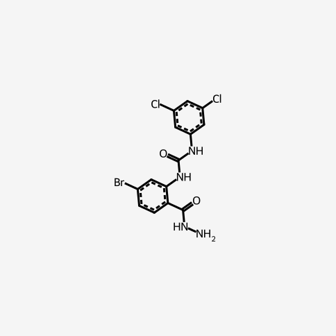 NNC(=O)c1ccc(Br)cc1NC(=O)Nc1cc(Cl)cc(Cl)c1